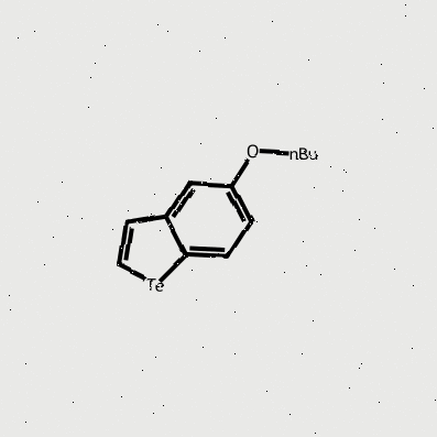 CCCCOc1ccc2[te]ccc2c1